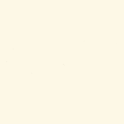 O=C(c1ccc(-c2cc(-c3ccccc3)cc(-c3ccc(C(=O)C4CCC(C(=O)O)C(C(=O)O)C4)cc3)n2)cc1)C1CCC(C(=O)O)C(C(=O)O)C1